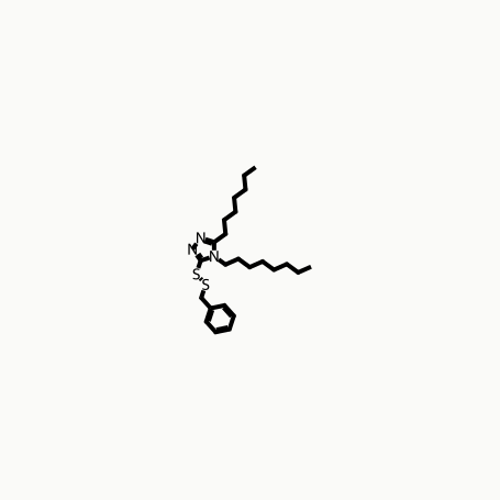 CCCCCCCCn1c(CCCCCCC)nnc1SSCc1ccccc1